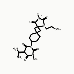 CCCCN1C(=O)C(=C(N)N)C(=O)N(C2CCC3(CC2)CC2(C3)C(=O)N(C)C(=O)N2CCOC)C1=O